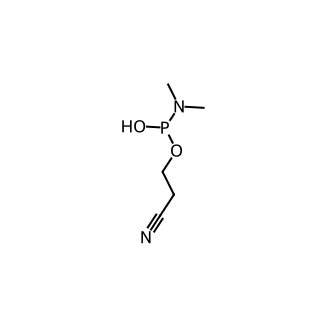 CN(C)P(O)OCCC#N